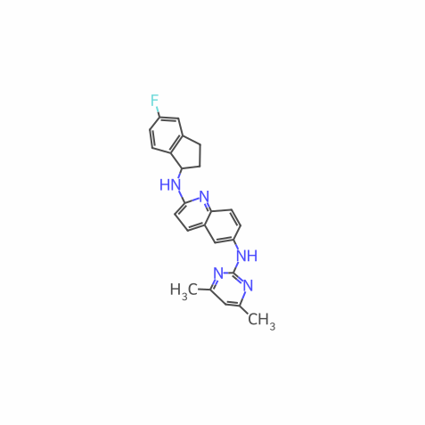 Cc1cc(C)nc(Nc2ccc3nc(NC4CCc5cc(F)ccc54)ccc3c2)n1